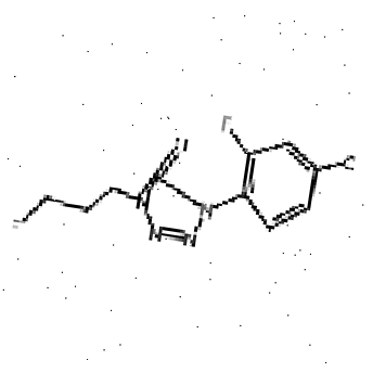 O=c1n(CCCF)nnn1-c1ccc(Cl)cc1F